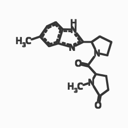 Cc1ccc2[nH]c(C3CCCN3C(=O)C3CCC(=O)N3C)nc2c1